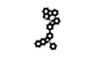 c1ccc(-n2c3ccc(-c4ccc5c(c4)c4ccccc4n5-c4ncc5cccc6c5c4-c4ccccc4-6)cc3c3cc4ccccc4cc32)cc1